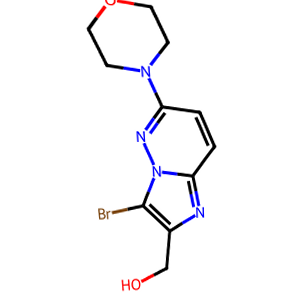 OCc1nc2ccc(N3CCOCC3)nn2c1Br